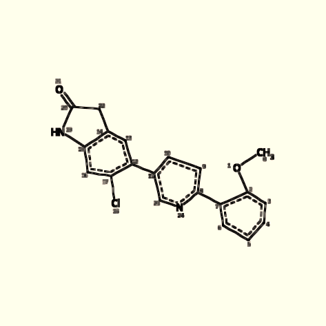 COc1ccccc1-c1ccc(-c2cc3c(cc2Cl)NC(=O)C3)cn1